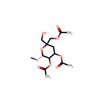 CC(=O)OCC1(CO)CC(OC(C)=O)C(OC(C)=O)[C@H](SI)O1